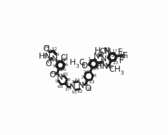 COc1cc2nc(C)nc(N[C@H](C)c3cc(N)cc(C(F)(F)F)c3)c2cc1C1CCC(C(=O)N2CCN(CC3CCN(C(=O)c4ccc(Cl)c(-n5ccc(=O)[nH]c5=O)c4)CC3)CC2)CC1